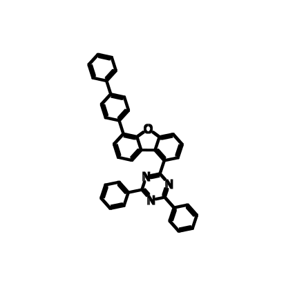 c1ccc(-c2ccc(-c3cccc4c3oc3cccc(-c5nc(-c6ccccc6)nc(-c6ccccc6)n5)c34)cc2)cc1